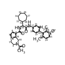 CC(=O)N1CCn2ccc(C(=O)N[C@H](C(=O)Nc3ccc(-c4c(C)cc[n+]([O-])c4C)cc3)C3CCCCCC3)c2C1